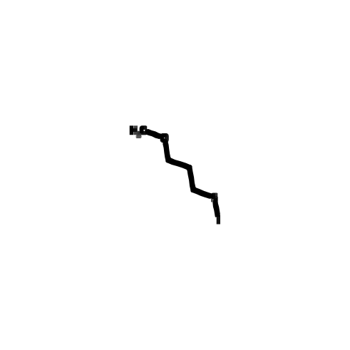 COCCCSI